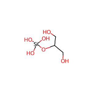 OCC(CO)O[Si](O)(O)O